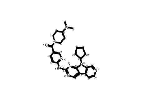 CN(C)C1CCN(C(=O)c2ccc(Nc3ncc4c5ccncc5n(C5CCCC5)c4n3)nc2)CC1